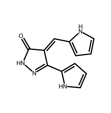 O=C1NN=C(c2ccc[nH]2)C1=Cc1ccc[nH]1